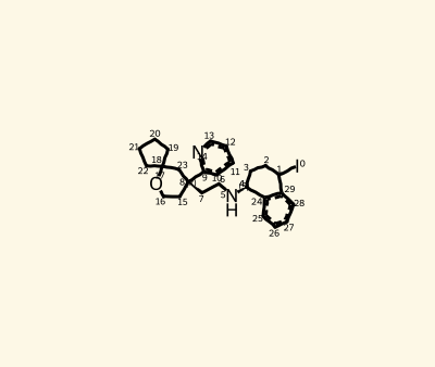 IC1CC[C@H](NCC[C@@]2(c3ccccn3)CCOC3(CCCC3)C2)c2ccccc21